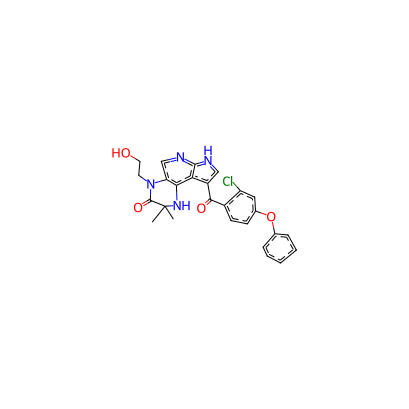 CC1(C)Nc2c(cnc3[nH]cc(C(=O)c4ccc(Oc5ccccc5)cc4Cl)c23)N(CCO)C1=O